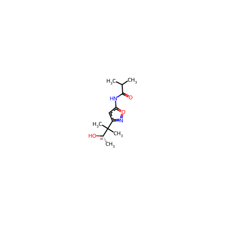 CC(C)C(=O)Nc1cc(C(C)(C)[C@H](C)O)no1